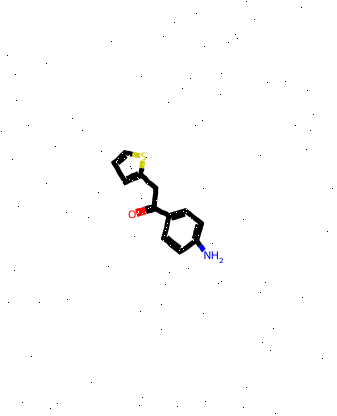 Nc1ccc(C(=O)Cc2cccs2)cc1